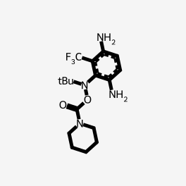 CC(C)(C)N(OC(=O)N1CCCCC1)c1c(N)ccc(N)c1C(F)(F)F